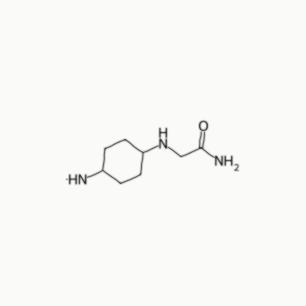 [NH]C1CCC(NCC(N)=O)CC1